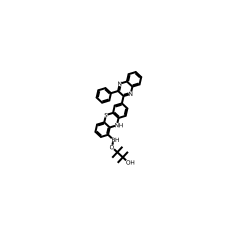 CC(C)(O)C(C)(C)OBc1cccc2c1Nc1ccc(-c3nc4ccccc4nc3-c3ccccc3)cc1S2